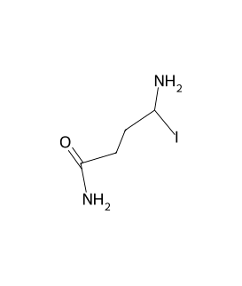 NC(=O)CCC(N)I